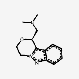 CN(C)C[C@@H]1OCCn2nc3ccccc3c21